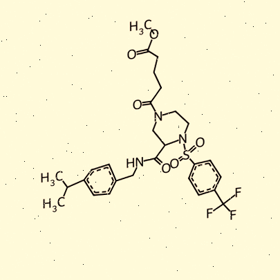 COC(=O)CCCC(=O)N1CCN(S(=O)(=O)c2ccc(C(F)(F)F)cc2)C(C(=O)NCc2ccc(C(C)C)cc2)C1